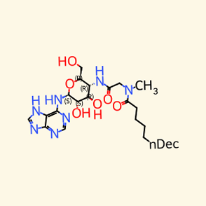 CCCCCCCCCCCCCCC(=O)N(C)CC(=O)N[C@@H]1[C@@H](O)[C@H](O)[C@@H](Nc2ncnc3nc[nH]c23)O[C@H]1CO